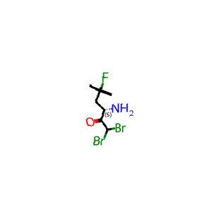 CC(C)(F)C[C@H](N)C(=O)C(Br)Br